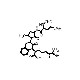 CSCCC(NC=O)C(=O)NC1CC(C)N(C2Cc3ccccc3C(C(CCCNC(=N)N)C(=O)C(C)C)C2=O)C1=O